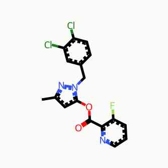 Cc1cc(OC(=O)c2ncccc2F)n(Cc2ccc(Cl)c(Cl)c2)n1